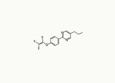 CCCc1cnc(-c2ccc(OC(F)=C(F)F)cc2)nc1